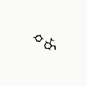 C=Cc1c(C(F)(F)F)ccc(Oc2ccc(OC(F)(F)F)cc2OC)c1C(=O)OC(C)(C)C